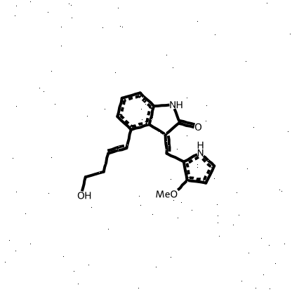 COc1cc[nH]c1C=C1C(=O)Nc2cccc(C=CCCO)c21